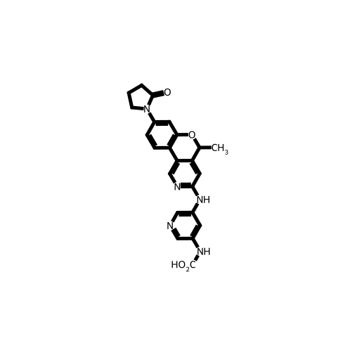 CC1Oc2cc(N3CCCC3=O)ccc2-c2cnc(Nc3cncc(NC(=O)O)c3)cc21